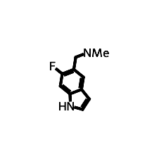 CNCc1cc2cc[nH]c2cc1F